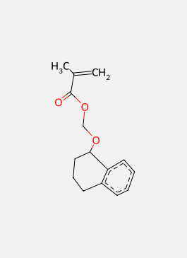 C=C(C)C(=O)OCOC1CCCc2ccccc21